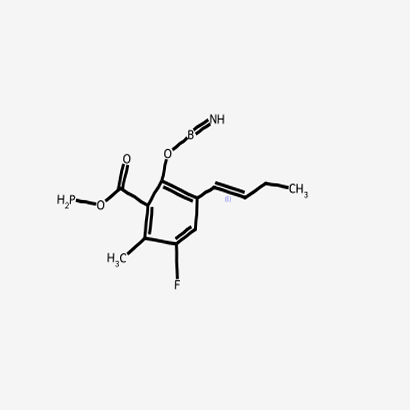 CC/C=C/c1cc(F)c(C)c(C(=O)OP)c1OB=N